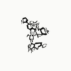 CCOC1(c2cccnc2)C=CC(N2CCN(C(=O)c3ccc(OC)nc3C(F)(F)F)C[C@H]2CC)=C(C(=O)N[C@H]2CN(C)C[C@H]2F)N1